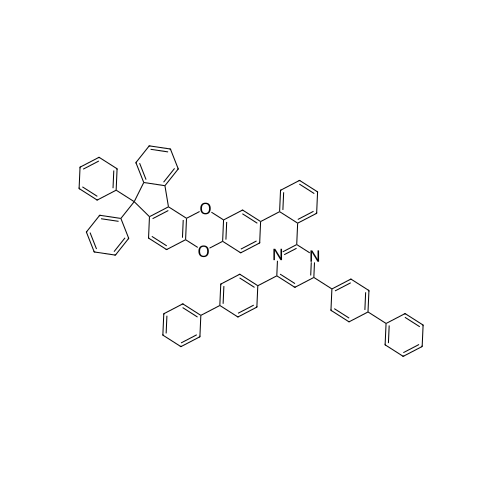 c1ccc(-c2ccc(-c3cc(-c4ccc(-c5ccccc5)cc4)nc(-c4ccccc4-c4ccc5c(c4)Oc4c(ccc6c4-c4ccccc4C6(c4ccccc4)c4ccccc4)O5)n3)cc2)cc1